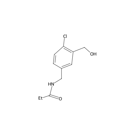 CCC(=O)NCc1ccc(Cl)c(CO)c1